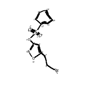 O=S(=O)(Oc1cc(CCBr)on1)c1ccccc1